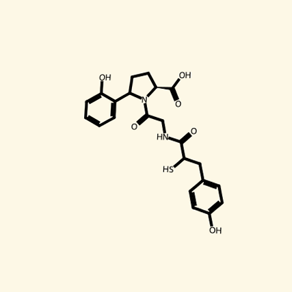 O=C(NCC(=O)N1C(c2ccccc2O)CC[C@H]1C(=O)O)C(S)Cc1ccc(O)cc1